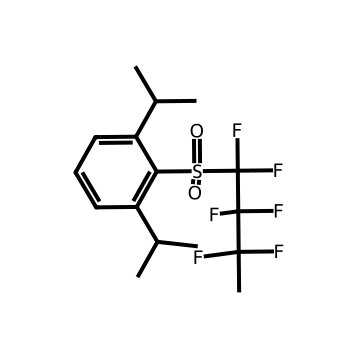 CC(C)c1cccc(C(C)C)c1S(=O)(=O)C(F)(F)C(F)(F)C(C)(F)F